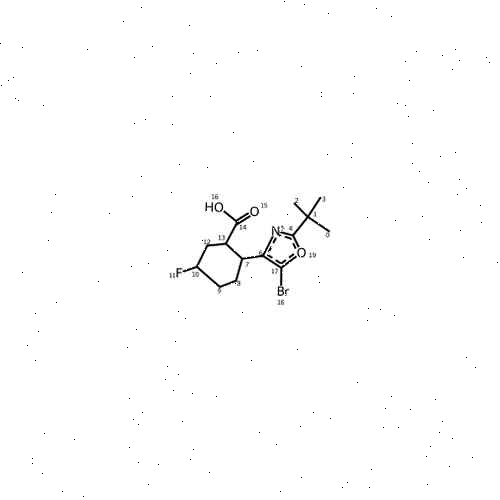 CC(C)(C)c1nc(C2CCC(F)CC2C(=O)O)c(Br)o1